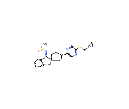 CC(C)(C)[S@@+]([O-])N=C1c2ccccc2CC12CCC(c1cnc(SCC3CC3)cn1)CC2